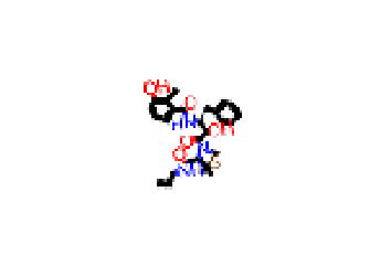 C=CCNC(=O)C1N(C(=O)[C@@H](O)[C@H](Cc2ccccc2)NC(=O)c2cccc(O)c2C)CSC1(C)C